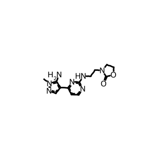 Cn1ncc(-c2ccnc(NCCN3CCOC3=O)n2)c1N